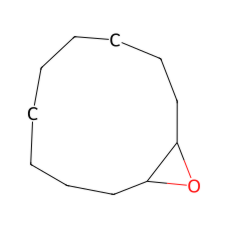 C1CCCCC2OC2CCCC1